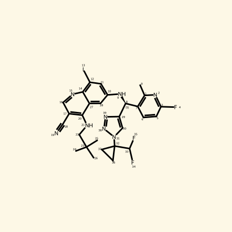 Cc1nc(F)ccc1[C@H](Nc1cc(I)c2ncc(C#N)c(NCC(C)(C)C)c2c1)c1cn(C2(C(F)F)CC2)nn1